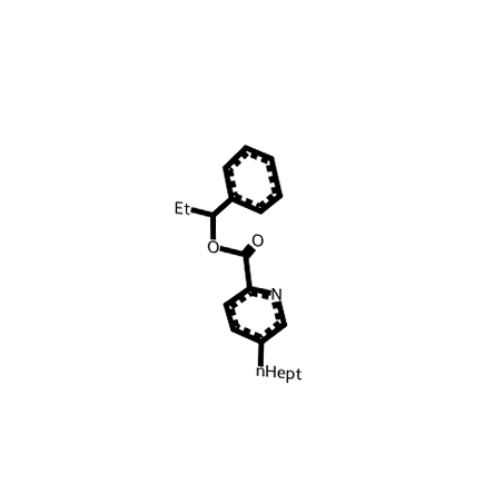 CCCCCCCc1ccc(C(=O)OC(CC)c2ccccc2)nc1